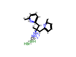 Br.Br.Cc1cccc(CC(C)(N)Cc2cccc(C)n2)n1.N.[Co]